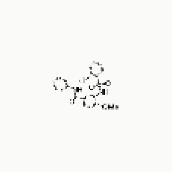 COc1ccc(C(=O)Nc2ccccc2)cc1NS(=O)(=O)c1ccccc1Cl